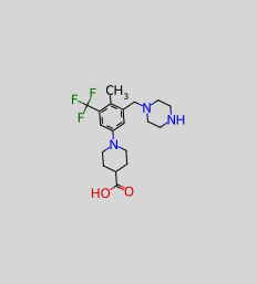 Cc1c(CN2CCNCC2)cc(N2CCC(C(=O)O)CC2)cc1C(F)(F)F